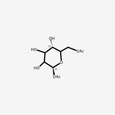 CC(=O)OCC1O[C@@H](OC(C)=O)C(O)C(O)[C@@H]1O